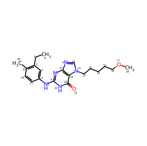 CCc1cc(Nc2nc3ncn(CCCCCOC)c3c(=O)[nH]2)ccc1C